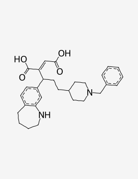 O=C(O)/C=C(/C(=O)O)C(CCC1CCN(Cc2ccccc2)CC1)c1ccc2c(c1)NCCCC2